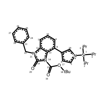 CC(C)[Si](C(C)C)(C(C)C)n1ccc(-c2cccc3c2n(C(=O)OC(C)(C)C)c(=O)n3Cc2ccccc2)c1